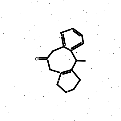 CC1C2=C(CCCC2)CC(=O)Cc2ccccc21